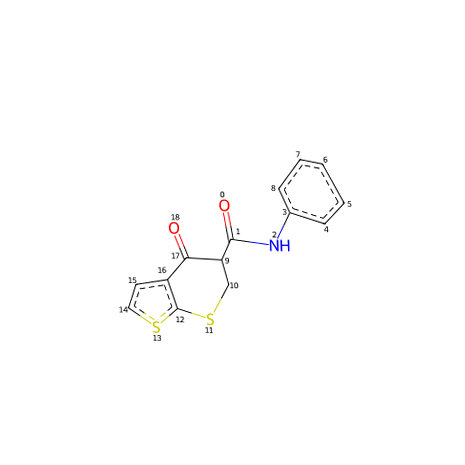 O=C(Nc1ccccc1)C1CSc2sccc2C1=O